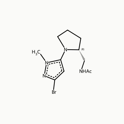 CC(=O)NC[C@H]1CCCN1c1cc(Br)nn1C